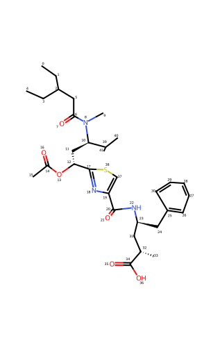 CCC(CC)CC(=O)N(C)[C@H](C[C@@H](OC(C)=O)c1nc(C(=O)N[C@@H](Cc2ccccc2)C[C@H](C)C(=O)O)cs1)C(C)C